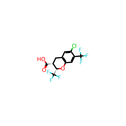 O=C(O)[C@@H]1Cc2cc(Cl)c(C(F)(F)F)cc2O[C@@H]1C(F)(F)F